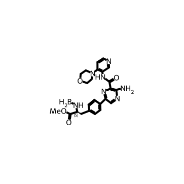 BN[C@@H](Cc1ccc(-c2cnc(N)c(C(=O)Nc3cnccc3N3CCOCC3)n2)cc1)C(=O)OC